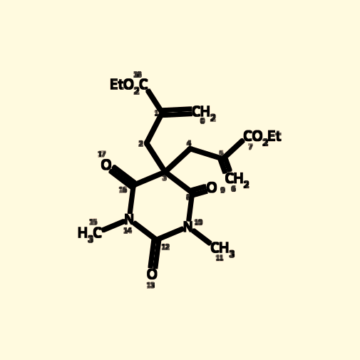 C=C(CC1(CC(=C)C(=O)OCC)C(=O)N(C)C(=O)N(C)C1=O)C(=O)OCC